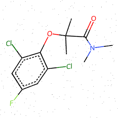 CN(C)C(=O)C(C)(C)Oc1c(Cl)cc(F)cc1Cl